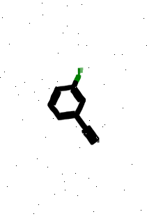 [C]#Cc1cccc(F)c1